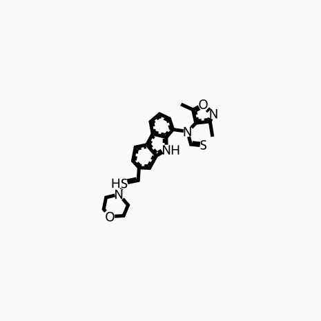 Cc1noc(C)c1N(C=S)c1cccc2c1[nH]c1cc(C=[SH]N3CCOCC3)ccc12